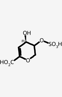 O=C(O)C1=C[C@@H](O)C(OS(=O)(=O)O)CO1